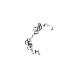 CC=CC(=O)OOOC(=O)OCCCCCCOC(=O)OOOC(=O)C=CC